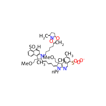 C=C(CCCCC[N+]1=C(/C=C/C=C/C=C2/N(CCC)c3ncc4c(SOO[O-])cc(C)cc4c3C2(C)CCOC)C(C)(CCOC)c2c1ccc1c(S(=O)(=O)O)cccc21)ON1C(=C)CCC1=O